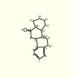 O=C1CC2c3ccccc3CCN2C2CCCCC12